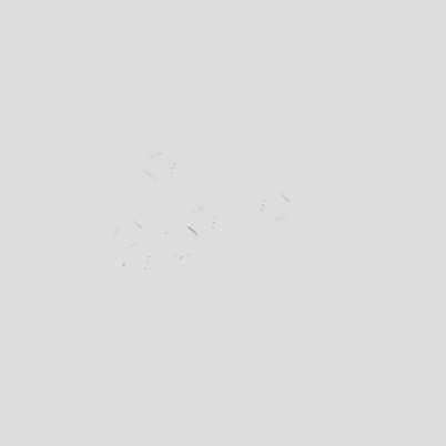 Cc1ccc(SCc2ccc(O)c(/C=N/C3CCCCC3/N=C/c3cc(CSc4ccc(C)cc4)ccc3O)c2)cc1